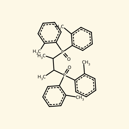 Cc1ccccc1P(=O)(c1ccccc1C)C(C)C(C)P(=O)(c1ccccc1C)c1ccccc1C